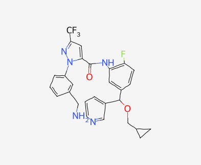 NCc1cccc(-n2nc(C(F)(F)F)cc2C(=O)Nc2cc(C(OCC3CC3)c3cccnc3)ccc2F)c1